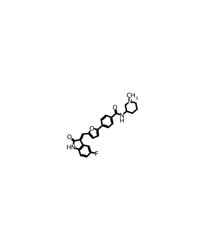 CN1CCCC(NC(=O)c2ccc(-c3ccc(/C=C4/C(=O)Nc5ccc(F)cc54)o3)cc2)C1